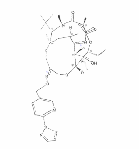 CC[C@H]1OC(=O)[C@H](C)C(=O)[C@H](C)[C@@H](C(C)(C)C)[C@@]2(C)C[C@@H](C)/C(=N\C(C)=O)[C@H](C)[C@@H](OC/C(=N\OCc3ccc(-n4cccn4)nc3)CO2)[C@]1(C)O